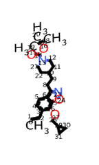 CC=Cc1ccc2c(CCC3CCN(C(=O)OC(C)(C)C)CC3)noc2c1OCC1CC1